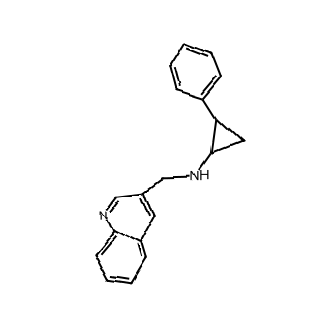 c1ccc(C2CC2NCc2cnc3ccccc3c2)cc1